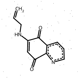 C=CCNC1=CC(=O)c2ncccc2C1=O